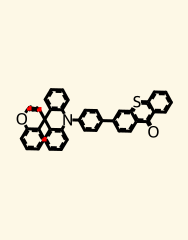 O=c1c2ccccc2sc2cc(-c3ccc(N4c5ccccc5C5(c6ccccc6Oc6ccccc65)c5ccccc54)cc3)ccc12